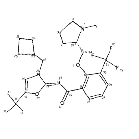 CN1CCC[C@H]1COc1c(C(=O)N=c2oc(C(C)(C)C)cn2CC2CCC2)cccc1C(F)(F)F